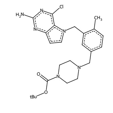 Cc1ccc(CN2CCN(C(=O)OC(C)(C)C)CC2)cc1Cn1ccc2nc(N)nc(Cl)c21